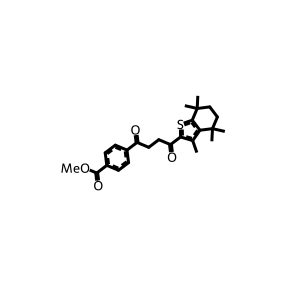 COC(=O)c1ccc(C(=O)CCC(=O)c2sc3c(c2C)C(C)(C)CCC3(C)C)cc1